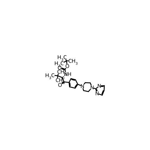 CC(C)(C)OC(=O)N[C@H](C(=O)c1ccc(N2CCN(c3ncccn3)CC2)cc1)C(C)(C)C